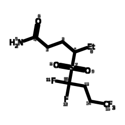 CCC(CCC(N)=O)S(=O)(=O)C(F)(F)CCC(F)(F)F